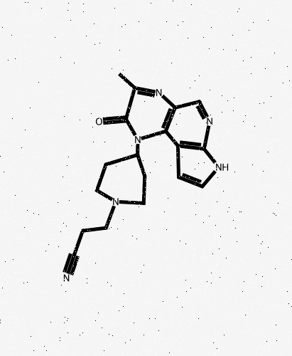 Cc1nc2cnc3[nH]ccc3c2n(C2CCN(CCC#N)CC2)c1=O